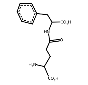 NC(CCC(=O)NC(Cc1ccccc1)C(=O)O)C(=O)O